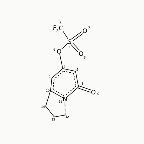 O=c1cc(OS(=O)(=O)C(F)(F)F)cc2n1CCC2